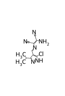 CC(C)c1n[nH]c(Cl)c1/C=N/C(C#N)=C(\N)C#N